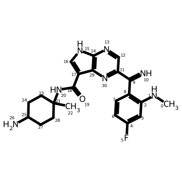 CNc1cc(F)ccc1C(=N)c1cnc2[nH]cc(C(=O)NC3(C)CCC(N)CC3)c2n1